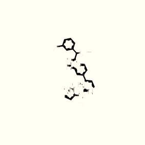 Cn1nccc1Nc1nccc(-c2ccn3c(C(O)c4cccc(Cl)c4)nnc3c2)n1